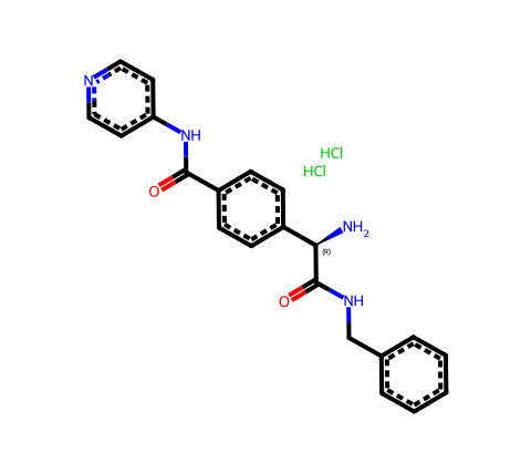 Cl.Cl.N[C@@H](C(=O)NCc1ccccc1)c1ccc(C(=O)Nc2ccncc2)cc1